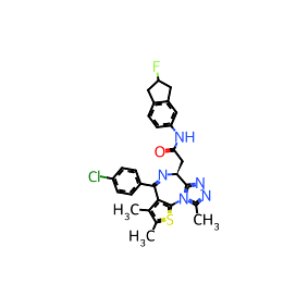 Cc1sc2c(c1C)C(c1ccc(Cl)cc1)=N[C@@H](CC(=O)Nc1ccc3c(c1)CC(F)C3)c1nnc(C)n1-2